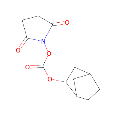 O=C(OC1CC2CCC1C2)ON1C(=O)CCC1=O